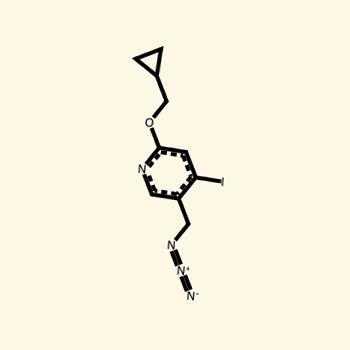 [N-]=[N+]=NCc1cnc(OCC2CC2)cc1I